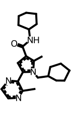 Cc1nccnc1-c1cc(C(=O)NC2CCCCC2)c(C)n1CC1CCCCC1